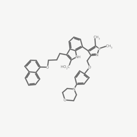 Cc1c(-c2cccc3c(CCCOc4cccc5ccccc45)c(C(=O)O)[nH]c23)c(COc2ccc(N3CCOCC3)cc2)nn1C